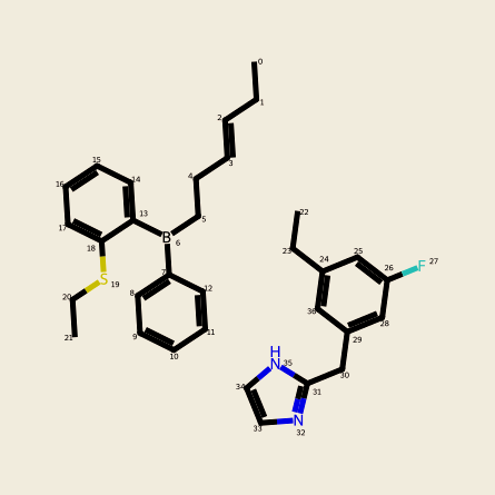 CCC=CCCB(c1ccccc1)c1ccccc1SCC.CCc1cc(F)cc(Cc2ncc[nH]2)c1